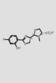 CN1[C@@H](C(=O)O)CS[C@@H]1[C@H]1CSC(c2ccc(F)cc2O)=N1